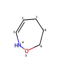 [CH]1CC=CNOC1